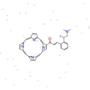 CN(C)CC(I)c1ccccc1C=CC(=O)C1=CC2=NC1=CC1=NC(=CC3=NC(=CC4=NC(=C2)C=C4)C=C3)C=C1